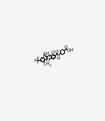 Cc1cc(C(F)(F)F)cc2c1cc(Cc1c(Cl)ccc(C(=O)NC3CCC(C(=O)O)CC3)c1Cl)n2C